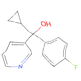 OC(c1ccc(F)cc1)(c1cccnc1)C1CC1